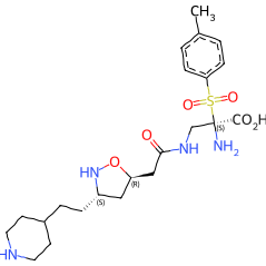 Cc1ccc(S(=O)(=O)[C@@](N)(CNC(=O)C[C@H]2C[C@H](CCC3CCNCC3)NO2)C(=O)O)cc1